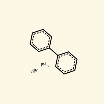 Br.P.c1ccc(-c2ccccc2)cc1